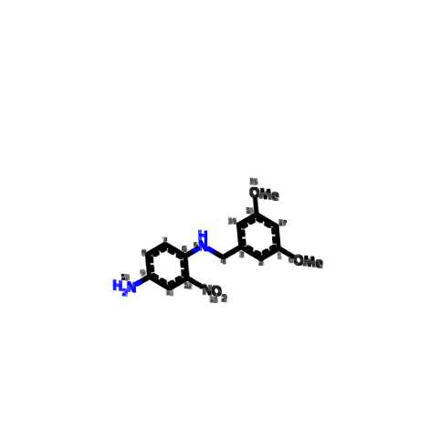 COc1cc(CNc2ccc(N)cc2[N+](=O)[O-])cc(OC)c1